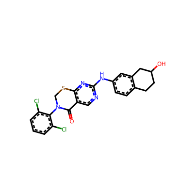 O=C1c2cnc(Nc3ccc4c(c3)CC(O)CC4)nc2SCN1c1c(Cl)cccc1Cl